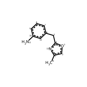 Cc1coc(Cc2cccc(N)c2)n1